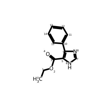 CCOC(=O)c1[nH]cnc1-c1ccccc1